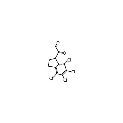 O=CC(=O)C1CCc2c(Cl)c(Cl)c(Cl)c(Cl)c21